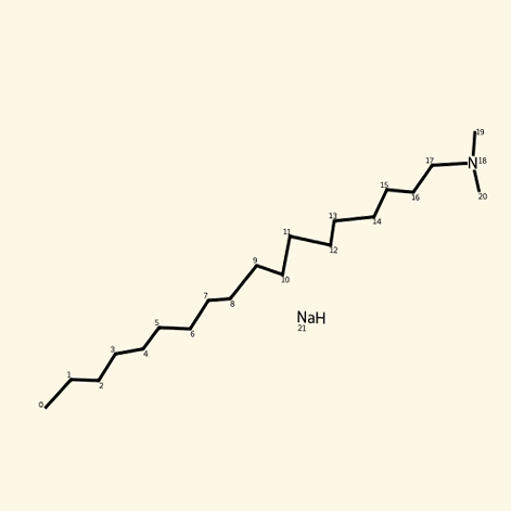 CCCCCCCCCCCCCCCCCCN(C)C.[NaH]